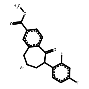 COC(=O)c1ccc2c(c1)CCCC(c1ccc(F)cc1F)C2=O.[Ar]